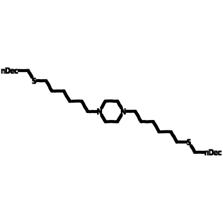 CCCCCCCCCCCSCCCCCCN1CCN(CCCCCCSCCCCCCCCCCC)CC1